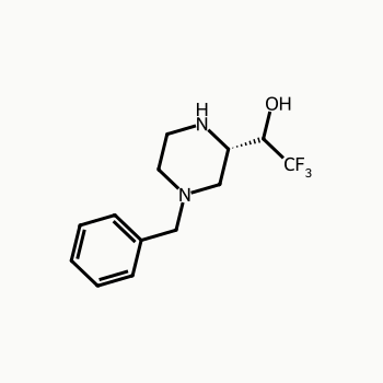 OC([C@@H]1CN(Cc2ccccc2)CCN1)C(F)(F)F